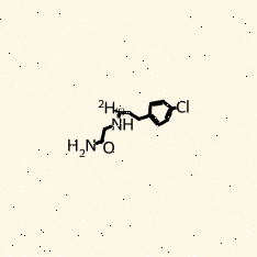 [2H][C@@H](CCc1ccc(Cl)cc1)NCC(N)=O